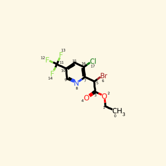 CCOC(=O)C(Br)c1ncc(C(F)(F)F)cc1Cl